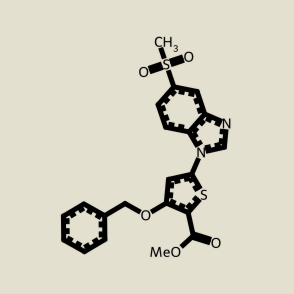 COC(=O)c1sc(-n2cnc3cc(S(C)(=O)=O)ccc32)cc1OCc1ccccc1